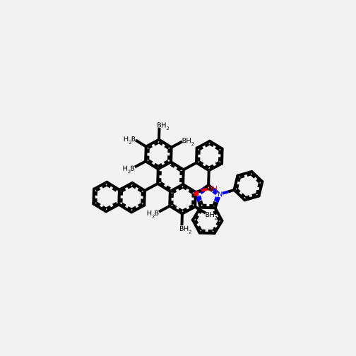 Bc1c(B)c(B)c2c(-c3ccccc3-c3nc4ccccc4n3-c3ccccc3)c3c(O)c(B)c(B)c(B)c3c(-c3ccc4ccccc4c3)c2c1B